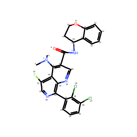 CN(C)c1c(C(=O)N[C@H]2CCOc3ccccc32)cnc2c(-c3cccc(Cl)c3Cl)ncc(F)c12